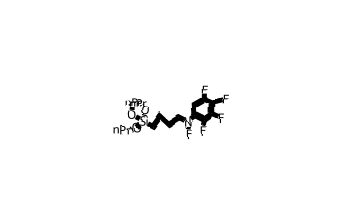 CCCO[Si](CCCCN(F)c1cc(F)c(F)c(F)c1F)(OCCC)OCCC